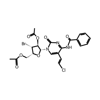 CC(=O)OC[C@H]1O[C@@H](n2cc(C=CCl)c(NC(=O)c3ccccc3)nc2=O)[C@H](OC(C)=O)[C@H]1Br